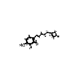 Cc1c(O)ccc(CCCCCC2CCC2)c1C